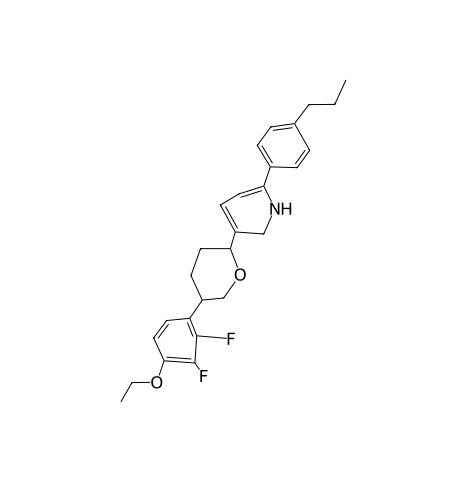 CCCc1ccc(C2=CC=C(C3CCC(c4ccc(OCC)c(F)c4F)CO3)CN2)cc1